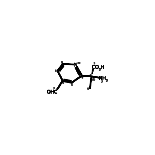 C[C@@](N)(C(=O)O)c1cc(C=O)ccn1